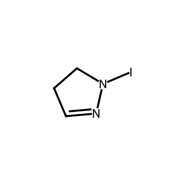 IN1CCC=N1